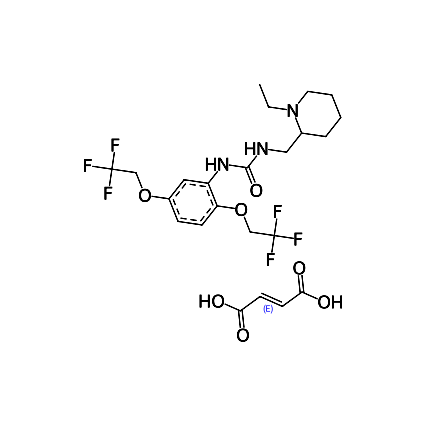 CCN1CCCCC1CNC(=O)Nc1cc(OCC(F)(F)F)ccc1OCC(F)(F)F.O=C(O)/C=C/C(=O)O